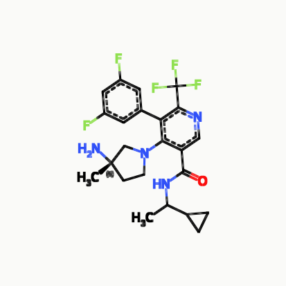 CC(NC(=O)c1cnc(C(F)(F)F)c(-c2cc(F)cc(F)c2)c1N1CC[C@](C)(N)C1)C1CC1